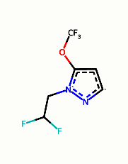 FC(F)Cn1n[c]cc1OC(F)(F)F